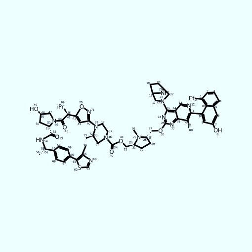 CCc1cccc2cc(O)cc(-c3ncc4c(N5CC6CCC(C5)N6)nc(OC[C@@H]5CC[C@@H](COC(=O)N6CCN(c7cc([C@@H](C(=O)N8C[C@H](O)C[C@H]8C(=O)N[C@@H](C)c8ccc(-c9scnc9C)cc8)C(C)C)on7)[C@H](C)C6)N5C)nc4c3F)c12